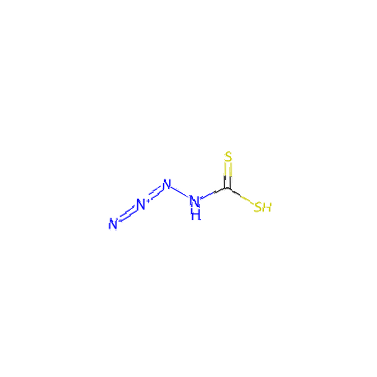 [N-]=[N+]=NNC(=S)S